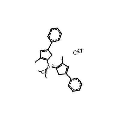 CC1=[C]([Zr+2]([C]2=C(C)C=C(c3ccccc3)C2)=[Ge]([CH3])[CH3])CC(c2ccccc2)=C1.[Cl-].[Cl-]